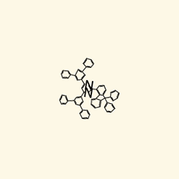 c1ccc(-c2cc(-c3ccccc3)cc(-c3cc(-c4cc(-c5ccccc5)cc(-c5ccccc5)c4)nc(-c4cccc5c4-c4ccccc4C5(c4ccccc4)c4ccccc4)n3)c2)cc1